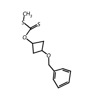 CSC(=S)OC1CC(OCc2ccccc2)C1